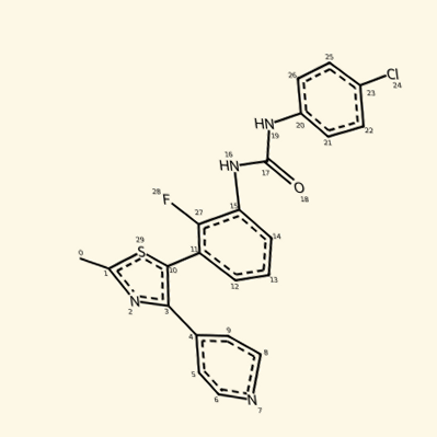 Cc1nc(-c2ccncc2)c(-c2cccc(NC(=O)Nc3ccc(Cl)cc3)c2F)s1